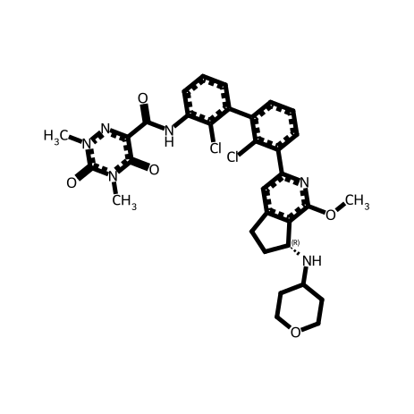 COc1nc(-c2cccc(-c3cccc(NC(=O)c4nn(C)c(=O)n(C)c4=O)c3Cl)c2Cl)cc2c1[C@H](NC1CCOCC1)CC2